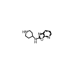 c1cnc2oc(NC3CCNCC3)nc2c1